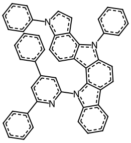 c1ccc(-c2cc(-c3ccccc3)nc(-n3c4ccccc4c4ccc5c(c6ccc7c(ccn7-c7ccccc7)c6n5-c5ccccc5)c43)c2)cc1